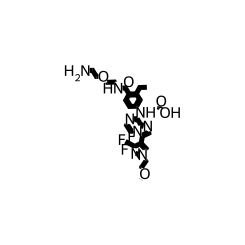 CCc1cc(Nc2nccn3c(-c4cn(CCOC)nc4C(F)(F)F)cnc23)ccc1C(=O)NCCOCCN.O=CO